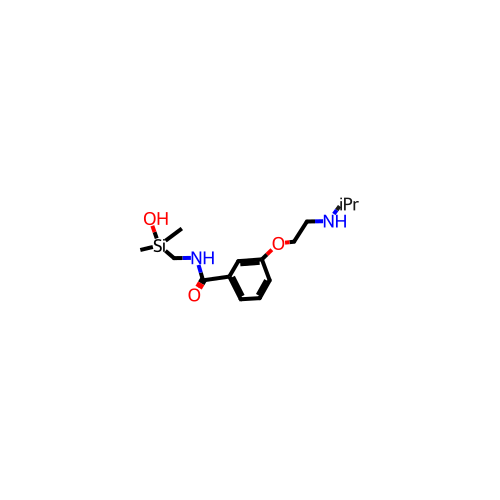 CC(C)NCCOc1cccc(C(=O)NC[Si](C)(C)O)c1